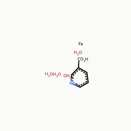 O.O.O.O.O=C(O)c1cccnc1.[Fe]